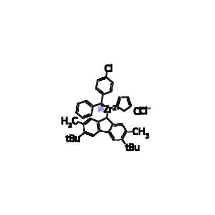 Cc1cc2c(cc1C(C)(C)C)-c1cc(C(C)(C)C)c(C)cc1[CH]2/[Zr+2]([C]1=CC=CC1)=[C](\c1ccccc1)c1ccc(Cl)cc1.[Cl-].[Cl-]